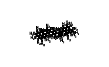 Bc1c(B)c(-c2c(B)c(B)c(-c3c(B)c(B)c(B)c(-c4c(B)c(B)c5c(B)c(B)c6c(B)c(B)c(B)c7c(B)c(B)c4c5c67)c3B)c(B)c2B)c(B)c(-c2c(B)c(B)c3c(B)c(B)c4c(B)c(B)c(B)c5c(B)c(B)c2c3c45)c1B